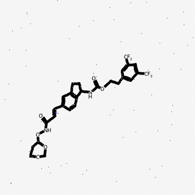 O=C(/C=C/c1ccc2c(c1)CCC2NC(=O)OCCc1cc(C(F)(F)F)cc(C(F)(F)F)c1)NOC1CCCCO1